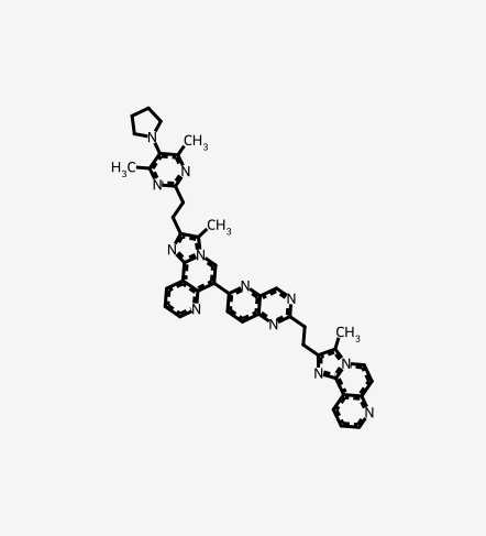 Cc1nc(CCc2nc3c4cccnc4c(-c4ccc5nc(CCc6nc7c8cccnc8ccn7c6C)ncc5n4)cn3c2C)nc(C)c1N1CCCC1